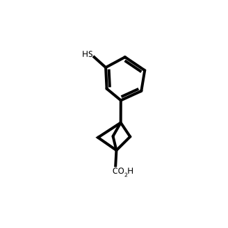 O=C(O)C12CC(c3cccc(S)c3)(C1)C2